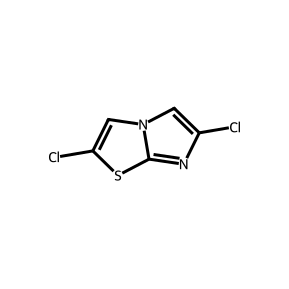 Clc1cn2cc(Cl)sc2n1